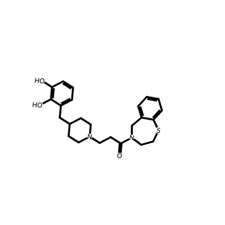 O=C(CCN1CCC(Cc2cccc(O)c2O)CC1)N1CCSc2ccccc2C1